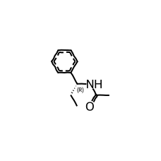 CC[C@@H](NC(C)=O)c1ccccc1